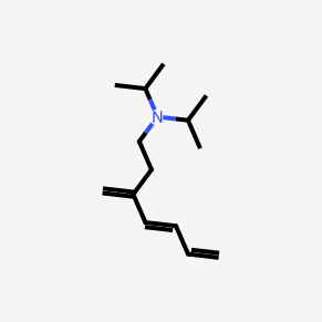 C=CC=CC(=C)CCN(C(C)C)C(C)C